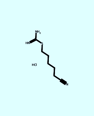 Cl.N#CCCCCCSC(=N)N